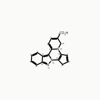 O=C(O)C1=CC=C2c3c4ccccc4nn3C3=C(C=CC3)N2C1